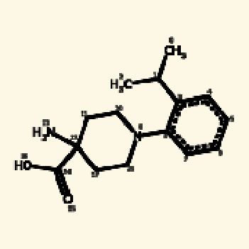 CC(C)c1ccccc1N1CCC(N)(C(=O)O)CC1